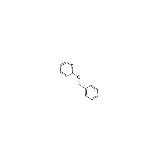 C1=CSC(OCc2ccccc2)C=C1